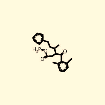 Cc1cccc(C)c1C(=O)C(CC(=O)OP)C(C)CCc1ccccc1